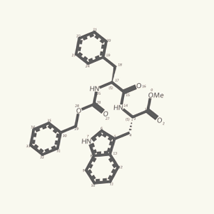 COC(=O)[C@H](Cc1c[nH]c2ccccc12)NC(=O)[C@H](Cc1ccccc1)NC(=O)OCc1ccccc1